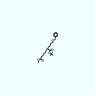 COC(=O)CCCCCN(CCCCOCc1ccccc1)C(=O)OC(C)(C)C